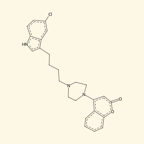 O=c1cc(N2CCN(CCCCc3c[nH]c4ccc(Cl)cc34)CC2)c2ccccc2o1